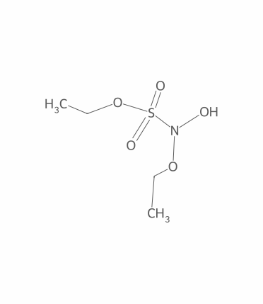 CCON(O)S(=O)(=O)OCC